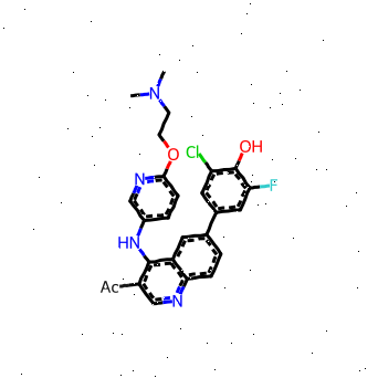 CC(=O)c1cnc2ccc(-c3cc(F)c(O)c(Cl)c3)cc2c1Nc1ccc(OCCN(C)C)nc1